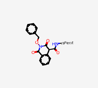 CCCCCNC(=O)C1C(=O)N(OCc2ccccc2)C(=O)c2ccccc21